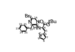 CC(C)(C)OC(=O)/C(=C/c1cccs1)Nc1ncc(Br)nc1Cc1ccccc1